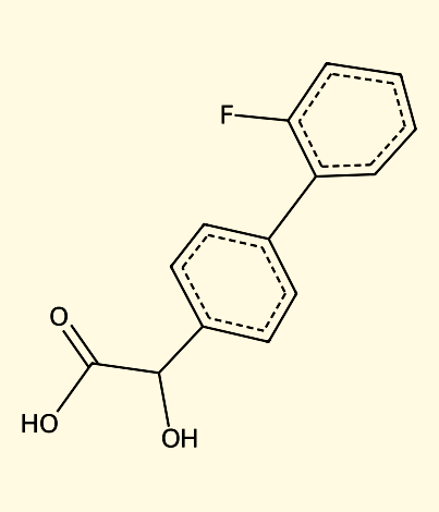 O=C(O)C(O)c1ccc(-c2ccccc2F)cc1